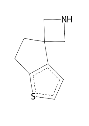 c1cc2c(s1)CCC21CNC1